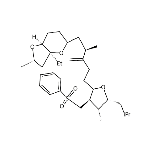 C=C(CCC1O[C@H](CC(C)C)[C@H](C)[C@H]1CS(=O)(=O)c1ccccc1)[C@H](C)CC1CC[C@@H]2O[C@@H](C)C[C@]2(CC)O1